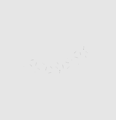 Cc1ccc2c(c1C)N1Cc3ccc(N4C(=O)c5ccc(C(C)(c6ccc7c(c6)C(=O)N(C)C7=O)C(F)(F)F)cc5C4=O)c(C)c3N(C2)C1